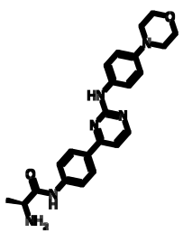 C[C@H](N)C(=O)Nc1ccc(-c2ccnc(Nc3ccc(N4CCOCC4)cc3)n2)cc1